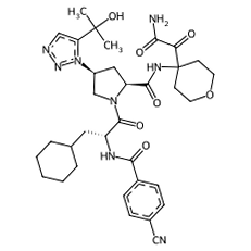 CC(C)(O)c1cnnn1[C@H]1C[C@@H](C(=O)NC2(C(=O)C(N)=O)CCOCC2)N(C(=O)[C@@H](CC2CCCCC2)NC(=O)c2ccc(C#N)cc2)C1